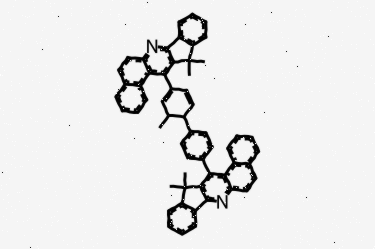 CC1C=C(c2c3c(nc4ccc5ccccc5c24)-c2ccccc2C3(C)C)C=CC1c1ccc(-c2c3c(nc4ccc5ccccc5c24)-c2ccccc2C3(C)C)cc1